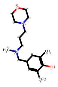 CC1=C(O)C(C=O)=CC(CN(C)CCCN2CCOCC2)C1